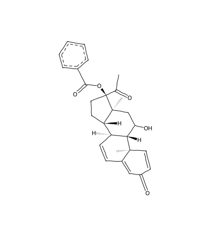 CC(=O)[C@@]1(OC(=O)c2ccccc2)CC[C@H]2[C@@H]3C=CC4=CC(=O)C=C[C@]4(C)[C@H]3C(O)C[C@@]21C